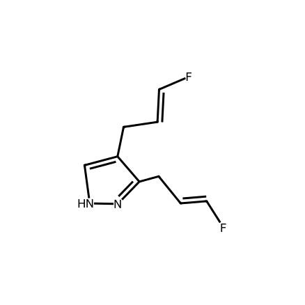 FC=CCc1c[nH]nc1CC=CF